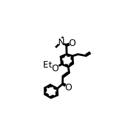 C=CCc1cc(C=CC(=O)c2ccccc2)c(OCC)cc1C(=O)N(C)C